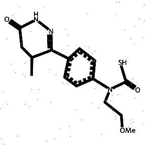 COCCN(C(=O)S)c1ccc(C2=NNC(=O)CC2C)cc1